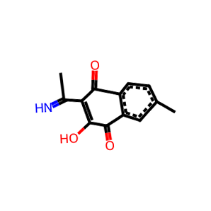 CC(=N)C1=C(O)C(=O)c2cc(C)ccc2C1=O